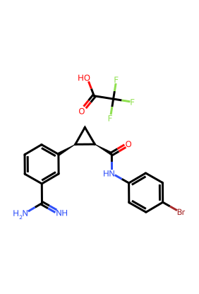 N=C(N)c1cccc([C@H]2C[C@H]2C(=O)Nc2ccc(Br)cc2)c1.O=C(O)C(F)(F)F